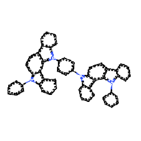 c1ccc(-n2c3ccccc3c3c2ccc2c4ccccc4n(-c4ccc(-n5c6ccccc6c6c5ccc5c7ccccc7n(-c7ccccc7)c56)cc4)c23)cc1